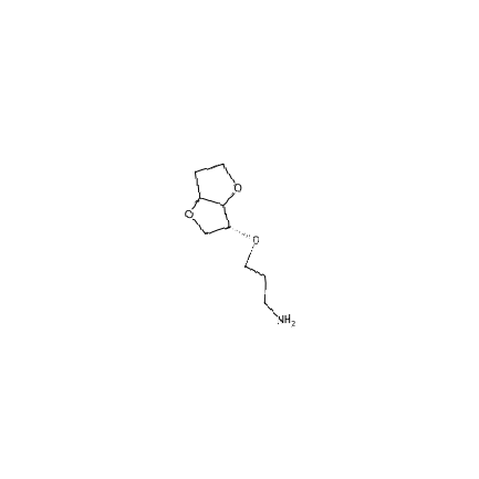 NCCCO[C@@H]1COC2CCOC21